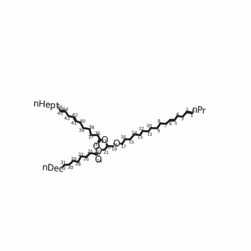 CCC/C=C/CC/C=C/CCCCCCCCCCCOCC(COC(=O)CCCCCCCCCCCCCCCCC)OC(=O)CCCCC/C=C/C/C=C/CCCCCCC